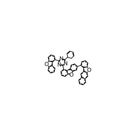 C1=CCC(c2nc(-c3cccc4oc5ccccc5c34)nc(-c3cccc4oc5cc(-c6cccc7oc8cc9ccccc9cc8c67)ccc5c34)n2)C=C1